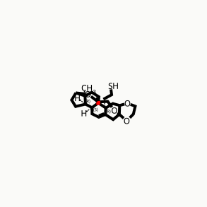 C[C@@]12CC=C3[C@H]4CC=C5CC6(OCCOC6C[C@@]53CCS)OCCOC1CC[C@H]42